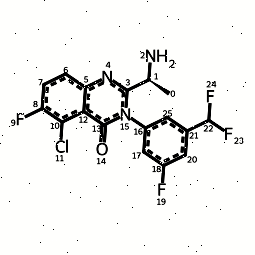 C[C@H](N)c1nc2ccc(F)c(Cl)c2c(=O)n1-c1cc(F)cc(C(F)F)c1